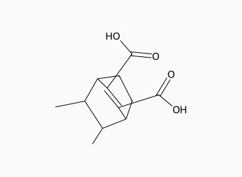 CC1C2CCC(C(C(=O)O)=C2C(=O)O)C1C